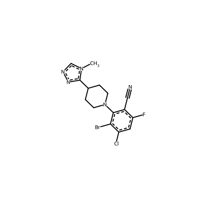 Cn1cnnc1C1CCN(c2c(Br)c(Cl)cc(F)c2C#N)CC1